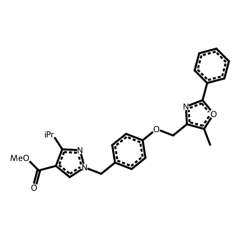 COC(=O)c1cn(Cc2ccc(OCc3nc(-c4ccccc4)oc3C)cc2)nc1C(C)C